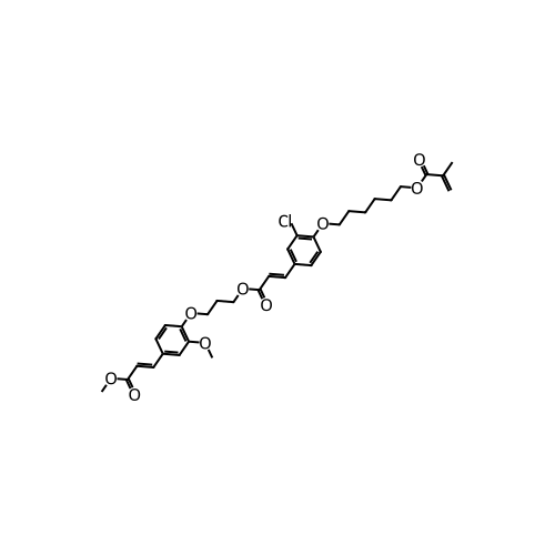 C=C(C)C(=O)OCCCCCCOc1ccc(/C=C/C(=O)OCCCOc2ccc(/C=C/C(=O)OC)cc2OC)cc1Cl